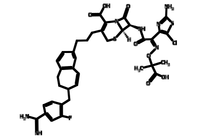 CC(C)(O/N=C(\C(=O)N[C@@H]1C(=O)N2C(C(=O)O)=C(CCCc3ccc4c(c3)C=CC(Cc3ccc(C(=N)N)cc3F)CC4)CS[C@H]12)c1nc(N)sc1Cl)C(=O)O